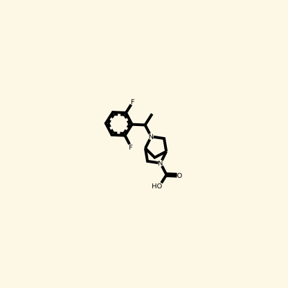 CC(c1c(F)cccc1F)N1CC2CC1CN2C(=O)O